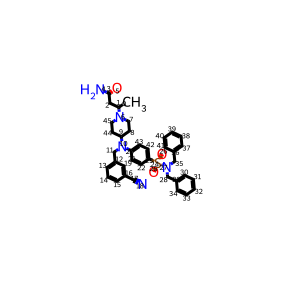 CC(CC(N)=O)N1CCC(N(Cc2cccc(C#N)c2)c2ccc(S(=O)(=O)N(Cc3ccccc3)Cc3ccccc3)cc2)CC1